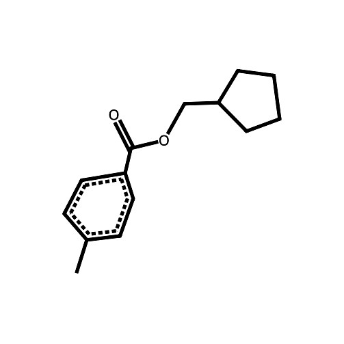 Cc1ccc(C(=O)OCC2CCCC2)cc1